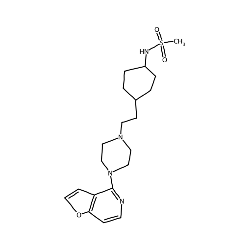 CS(=O)(=O)NC1CCC(CCN2CCN(c3nccc4occc34)CC2)CC1